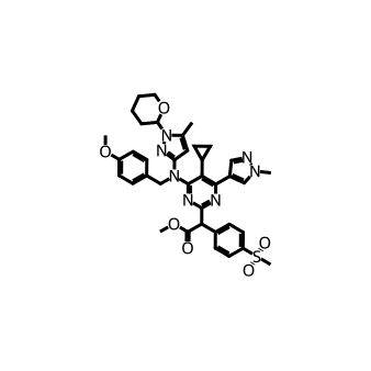 COC(=O)C(c1ccc(S(C)(=O)=O)cc1)c1nc(-c2cnn(C)c2)c(C2CC2)c(N(Cc2ccc(OC)cc2)c2cc(C)n(C3CCCCO3)n2)n1